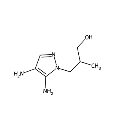 CC(CO)Cn1ncc(N)c1N